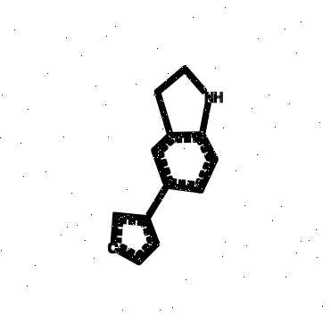 c1cc(-c2ccc3c(c2)CCN3)co1